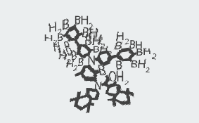 Bc1c(B)c(B)c(-c2ccc3c(c2)B2c4oc5cc6c(cc5c4N(c4ccc5c(c4)C(C)(C)CCC5(C)C)c4cc(C)cc(c42)N3c2c(B)c(B)c(-c3c(B)c(B)c(B)c(B)c3B)c(B)c2B)C(C)(C)CCC6(C)C)c(B)c1B